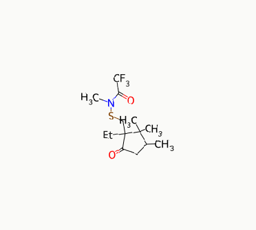 CCC1(CSN(C)C(=O)C(F)(F)F)C(=O)CC(C)C1(C)C